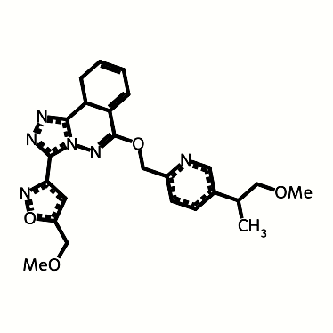 COCc1cc(-c2nnc3n2N=C(OCc2ccc(C(C)COC)cn2)C2=CC=CCC23)no1